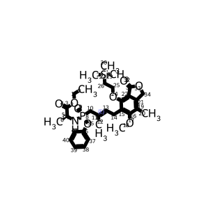 CCOC(=O)[C@H](C)NP(=O)(C/C(C)=C/Cc1c(OC)c(C)c2c(c1OCC[Si](C)(C)C)C(=O)OC2)Oc1ccccc1